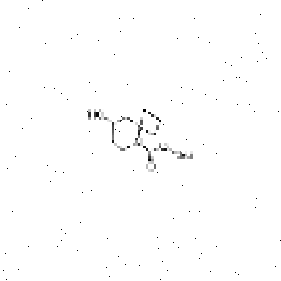 CC(C)(C)OC(=O)N1CCC(O)CC12CCC2